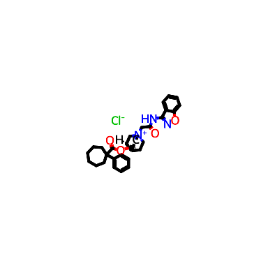 O=C(C[N+]12CCC(CC1)[C@@H](OC(=O)C1(c3ccccc3)CCCCCC1)C2)Nc1noc2ccccc12.[Cl-]